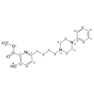 COC(=O)c1nc(CCCCN2CCN(c3ccccc3)CC2)ccc1O